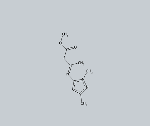 COC(=O)C/C(C)=N/c1cc(C)nn1C